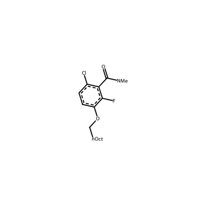 CCCCCCCCCOc1ccc(Cl)c(C(=O)NC)c1F